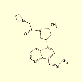 C/N=C\c1ccc([C@H]2C[C@@H](C)CN(C(=O)CN3CCC3)C2)c2cccnc12